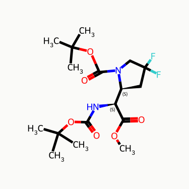 COC(=O)[C@@H](NC(=O)OC(C)(C)C)[C@@H]1CC(F)(F)CN1C(=O)OC(C)(C)C